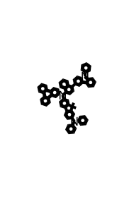 CC1(C)c2cc(N(c3ccccc3)c3ccccc3)ccc2-c2ccc(N(c3ccc4c5ccccc5c5ccccc5c4c3)c3ccc(-c4ccc5c(c4)c4ccccc4n5-c4ccccc4)c4ccccc34)cc21